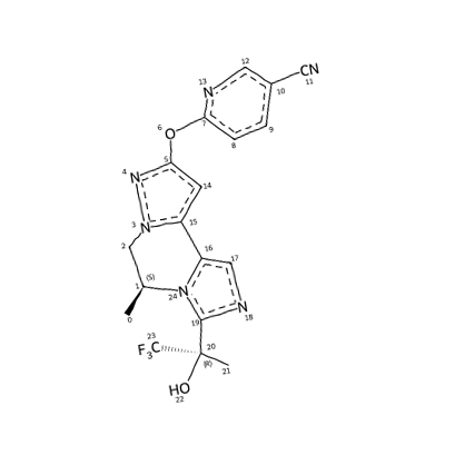 C[C@H]1Cn2nc(Oc3ccc(C#N)cn3)cc2-c2cnc([C@@](C)(O)C(F)(F)F)n21